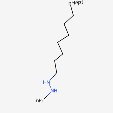 CCCCCCCCCCCCCCNNCCC